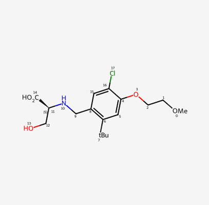 COCCOc1cc(C(C)(C)C)c(CN[C@@H](CO)C(=O)O)cc1Cl